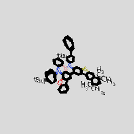 CC(C)(C)c1ccc(N2c3ccc(C(C)(C)C)cc3B3c4c(cc5c(oc6ccccc65)c42)-c2cc4c(cc2N3c2ccc(-c3ccccc3)cc2)sc2cc3c(cc24)C(C)(C)CCC3(C)C)cc1